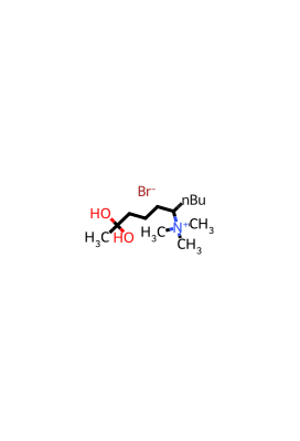 CCCCC(CCCC(C)(O)O)[N+](C)(C)C.[Br-]